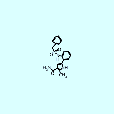 Cc1[nH]c(-c2ccccc2NS(=O)(=O)Cc2ccccc2)cc1C(N)=O